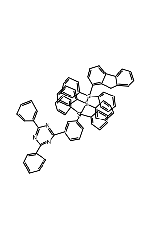 c1ccc(-c2nc(-c3ccccc3)nc(-c3cccc([Si](c4ccccc4)(c4ccccc4)[Si](c4ccccc4)(c4ccccc4)[Si](c4ccccc4)(c4ccccc4)c4cccc5c4Cc4ccccc4-5)c3)n2)cc1